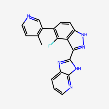 Cc1ccncc1-c1ccc2[nH]nc(-c3nc4cccnc4[nH]3)c2c1F